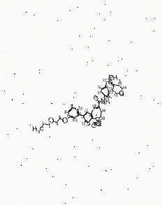 CCCOCCOc1cccc(-c2ccc3c(c2)C=C(C(=O)Nc2ccc(CN(C)C4CCOCC4)cc2)CCS3(=O)=O)c1